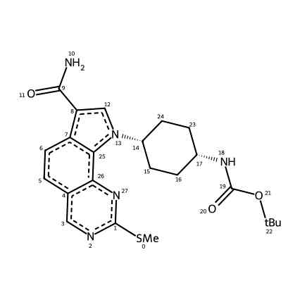 CSc1ncc2ccc3c(C(N)=O)cn([C@H]4CC[C@@H](NC(=O)OC(C)(C)C)CC4)c3c2n1